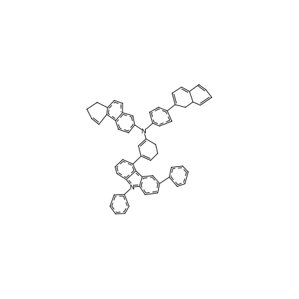 C1=CC2=CC=C(c3ccc(N(C4=CC(c5cccc6c5c5cc(-c7ccccc7)ccc5n6-c5ccccc5)=CCC4)c4ccc5c6c(ccc5c4)CCC=C6)cc3)CC2C=C1